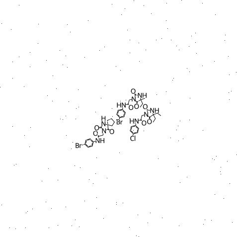 CCC1(C)NC(=O)N(CC(=O)Nc2ccc(Br)cc2)C1=O.CCC1(CC)NC(=O)N(CC(=O)Nc2ccc(Cl)cc2)C1=O.O=C(CN1C(=O)NC2(CCCC2)C1=O)Nc1ccc(Br)cc1